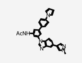 CC(=O)Nc1cc(-c2ccc(-n3cccc3)cc2)cc(-n2cnc3cc(-c4cnn(C)c4)ccc32)c1